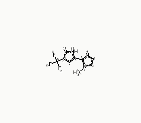 Cn1ccnc1-c1cc(C(F)(F)F)n[nH]1